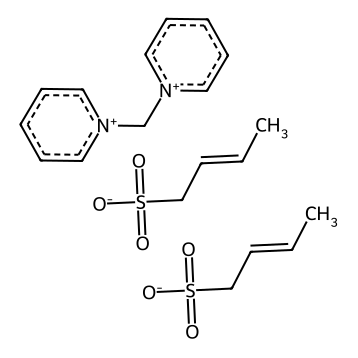 C/C=C/CS(=O)(=O)[O-].C/C=C/CS(=O)(=O)[O-].c1cc[n+](C[n+]2ccccc2)cc1